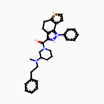 CN(CCc1ccccc1)C1CCCN(C(=O)c2nn(-c3ccccc3)c3c2CCc2sccc2-3)C1